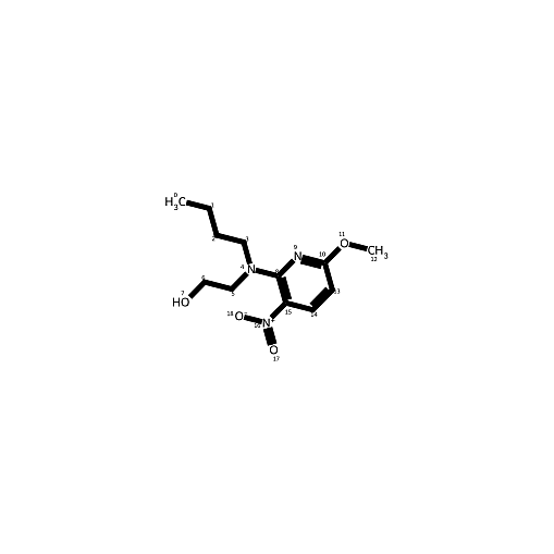 CCCCN(CCO)c1nc(OC)ccc1[N+](=O)[O-]